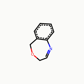 C1=Nc2ccccc2COC1